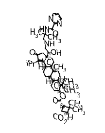 CC(C)C1=C2[C@H]3CC[C@@H]4[C@@]5(C)CC[C@H](OC(=O)[C@H]6C[C@@H](C(=O)O)C6(C)C)C(C)(C)[C@@H]5CC[C@@]4(C)[C@]3(C)CC[C@@]2([C@@H](O)CNCC(C)(C)NC(=O)c2ncccn2)CC1=O